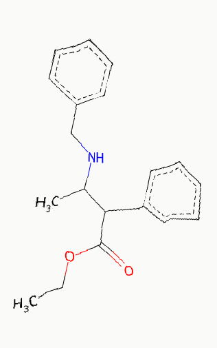 CCOC(=O)C(c1ccccc1)C(C)NCc1ccccc1